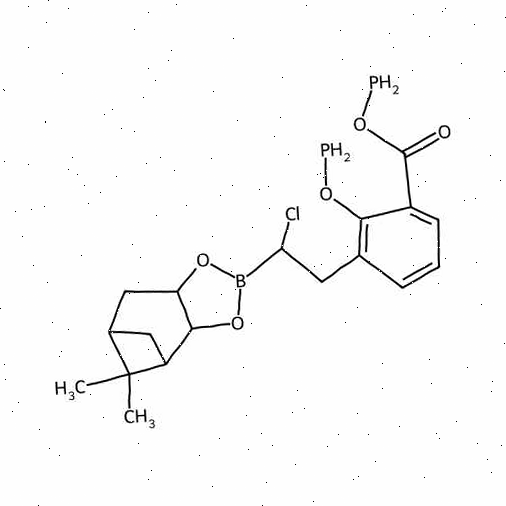 CC1(C)C2CC3OB(C(Cl)Cc4cccc(C(=O)OP)c4OP)OC3C1C2